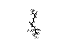 CC(=O)OC(C/C=C(/C)CCC=C(C)CO)(C(C)=O)C(=O)OC(C)(C)C